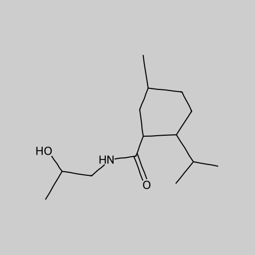 CC(O)CNC(=O)C1CC(C)CCC1C(C)C